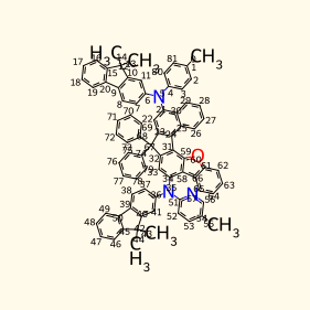 Cc1ccc(N(c2ccc3c(c2)C(C)(C)c2ccccc2-3)c2cc3c(c4ccccc24)-c2c(cc(N(c4ccc5c(c4)C(C)(C)c4ccccc4-5)c4ccc(C)cn4)c4c2oc2ccccc24)C3(c2ccccc2)c2ccccc2)cc1